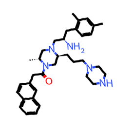 Cc1ccc(C[C@H](N)CN2C[C@@H](C)N(C(=O)Cc3ccc4ccccc4c3)C[C@@H]2CCCN2CCNCC2)c(C)c1